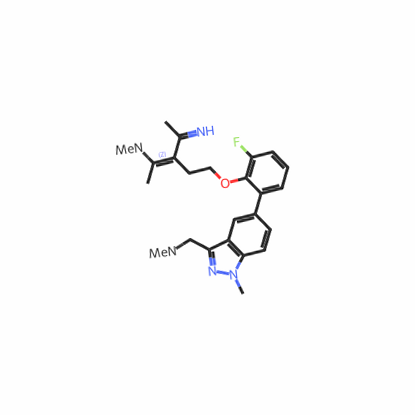 CNCc1nn(C)c2ccc(-c3cccc(F)c3OCC/C(C(C)=N)=C(\C)NC)cc12